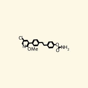 COc1ncc(Cl)cc1-c1ccc([CH]Cc2ccc(OC(N)=O)cc2)cc1